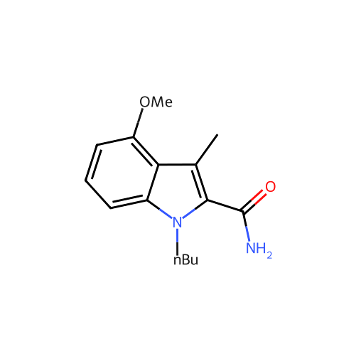 CCCCn1c(C(N)=O)c(C)c2c(OC)cccc21